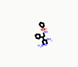 Nc1cc(C(CCNS(=O)(=O)c2ccccc2)c2ccccc2)c(N)cn1